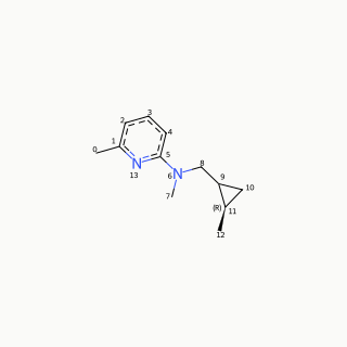 Cc1cccc(N(C)CC2C[C@H]2C)n1